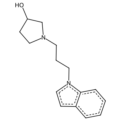 OC1CCN(CCCn2ccc3ccccc32)C1